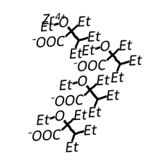 CCOC(CC)(C(=O)[O-])C(CC)CC.CCOC(CC)(C(=O)[O-])C(CC)CC.CCOC(CC)(C(=O)[O-])C(CC)CC.CCOC(CC)(C(=O)[O-])C(CC)CC.[Zr+4]